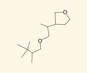 CC(COCC(C)C(C)(C)C)C1CCOC1